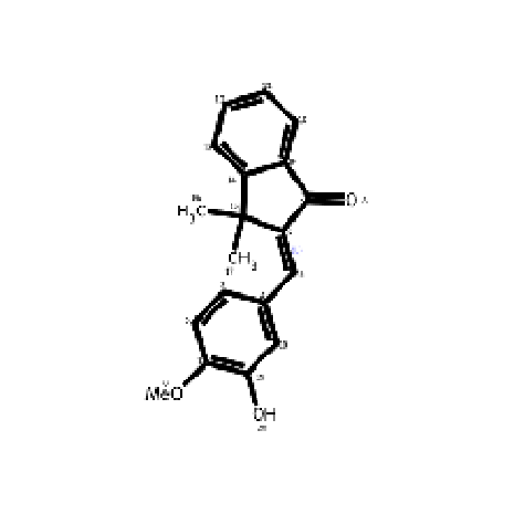 COc1ccc(/C=C2/C(=O)c3ccccc3C2(C)C)cc1O